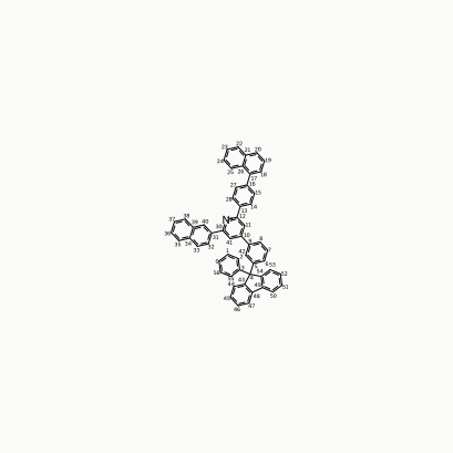 c1ccc(C2(c3cccc(-c4cc(-c5ccc(-c6cccc7ccccc67)cc5)nc(-c5ccc6ccccc6c5)c4)c3)c3ccccc3-c3ccccc32)cc1